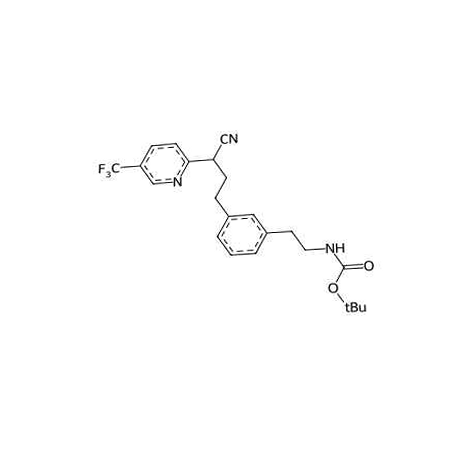 CC(C)(C)OC(=O)NCCc1cccc(CCC(C#N)c2ccc(C(F)(F)F)cn2)c1